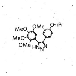 CCCOc1ccc(-c2nn[nH]c2-c2cc(OC)c(OC)c(OC)c2OC)cc1